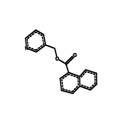 O=C(OCc1cccnc1)c1cccc2ccccc12